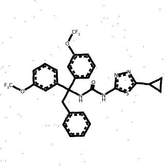 O=C(Nc1nnc(C2CC2)s1)NC(Cc1ccccc1)(c1cccc(OC(F)(F)F)c1)c1cccc(OC(F)(F)F)c1